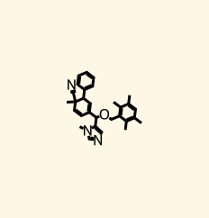 Cc1cc(C)c(C)c(COC(C2=CC(c3ccccc3)C(C)(C#N)C=C2)c2cncn2C)c1C